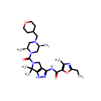 CCc1nc(C)c(C(=O)Nc2n[nH]c3c2CN(C(=O)N2C[C@H](C)N(CC4CCOCC4)C[C@@H]2C)C3(C)C)o1